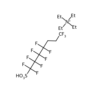 CC[N+](CC)(CC)CC.O=S(=O)(O)C(F)(F)C(F)(F)C(F)(F)C(F)(F)CCC(F)(F)F